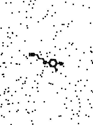 OCCCOc1ccc(Br)c(F)c1